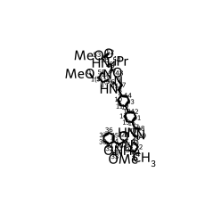 COC[C@H]1C[C@@H](c2ncc(-c3ccc(-c4ccc(-c5cnc([C@@H]6C[C@H](C)CN6C(=O)[C@H](NC(=O)OC)c6ccccc6)[nH]5)cc4)cc3)[nH]2)N(C(=O)[C@@H](NC(=O)OC)C(C)C)C1